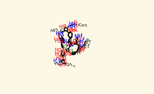 CCCCCCCCS(=O)(=O)NCCNCc1c(O)cc2c(c1O)-c1cc(ccc1O)[C@H]1CC(=O)[C@@H]3NC(=O)[C@H](CC(N)=O)CC(=O)[C@H](NC(=O)[C@H](CC)CC(C)C)[C@H](O)c4ccc(c(Cl)c4)Oc4cc3cc(c4O[C@@H]3O[C@H](CO)[C@@H](O)[C@H](O)[C@H]3O[C@H]3C[C@](C)(N)[C@H](O)[C@H](C)O3)Oc3ccc(cc3Cl)[C@@H](O)[C@H](NC1=O)C(=O)N[C@@H]2C(=O)O